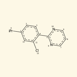 CC(C)c1ccc(-c2ncccn2)c(Cl)c1